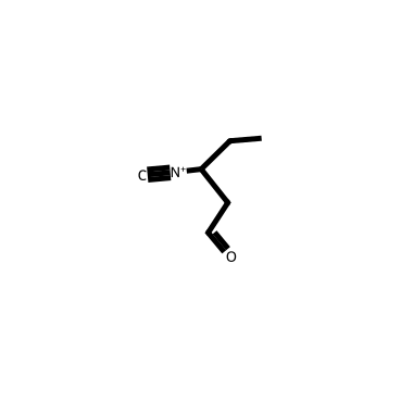 [C-]#[N+]C(CC)CC=O